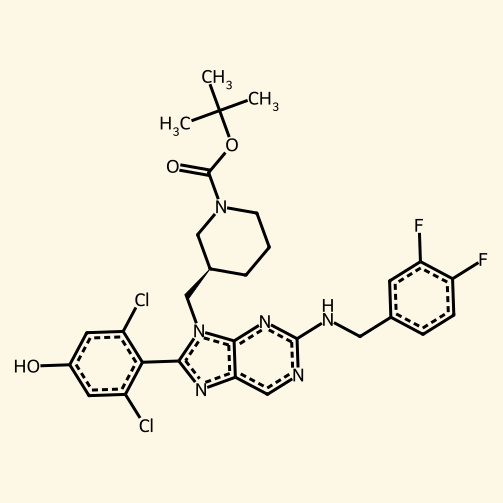 CC(C)(C)OC(=O)N1CCC[C@@H](Cn2c(-c3c(Cl)cc(O)cc3Cl)nc3cnc(NCc4ccc(F)c(F)c4)nc32)C1